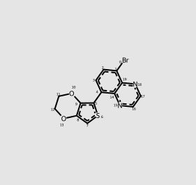 Brc1ccc(-c2scc3c2OCCO3)c2nccnc12